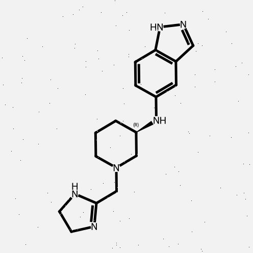 c1cc2[nH]ncc2cc1N[C@@H]1CCCN(CC2=NCCN2)C1